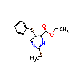 CCOC(=O)c1nc(SC)ncc1Sc1ccccc1